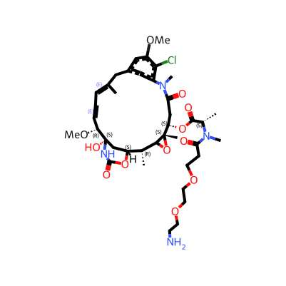 COc1cc2cc(c1Cl)N(C)C(=O)C[C@H](OC(=O)[C@H](C)N(C)C(=O)CCOCCOCCN)[C@]1(C)OC1[C@H](C)[C@@H]1C[C@@](O)(NC(=O)O1)[C@H](OC)/C=C/C=C(\C)C2